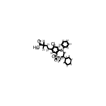 CN1[C@H](C2CCCCC2)CN(c2ccccc2)c2cc(Cl)c(CCC(C)(C)C(=O)O)cc2S1(=O)=O